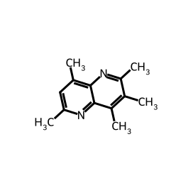 Cc1cc(C)c2nc(C)c(C)c(C)c2n1